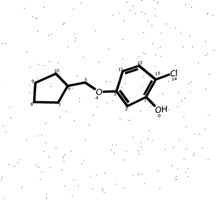 Oc1cc(OCC2CCCC2)ccc1Cl